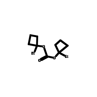 CCC1(OC(=O)OC2(CC)CCC2)CCC1